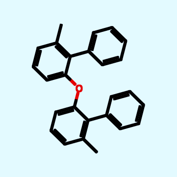 Cc1cccc(Oc2cccc(C)c2-c2ccccc2)c1-c1ccccc1